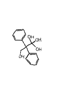 OCC(c1ccccc1)(c1ccccc1)C(O)(O)O